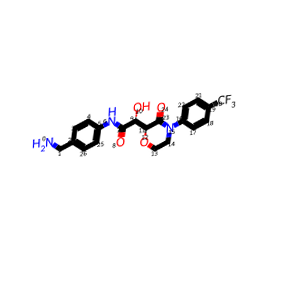 NCc1ccc(NC(=O)[C@H](O)[C@H]2OCCN(c3ccc(C(F)(F)F)cc3)C2=O)cc1